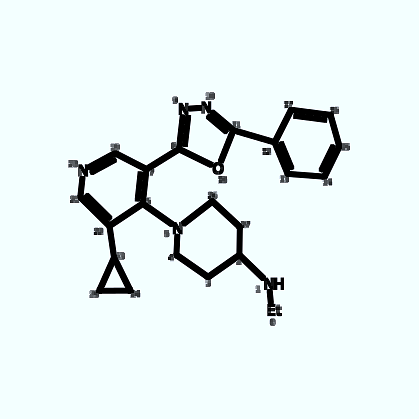 CCNC1CCN(c2c(-c3nnc(-c4ccccc4)o3)cncc2C2CC2)CC1